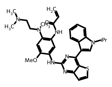 C=CC(=O)Nc1cc(Nc2nc(-c3cn(C(C)C)c4ccccc34)c3sccc3n2)c(OC)cc1N(C)CCN(C)C